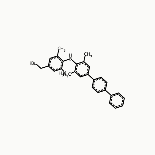 CCC(C)Cc1cc(C)c(Bc2c(C)cc(-c3ccc(-c4ccccc4)cc3)cc2C)c(C)c1